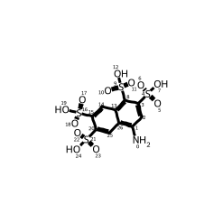 Nc1cc(S(=O)(=O)O)c(S(=O)(=O)O)c2cc(S(=O)(=O)O)c(S(=O)(=O)O)cc12